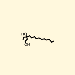 CCCCCCCCCCCC(O)(CC)CCO